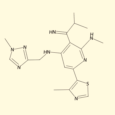 CNc1nc(-c2scnc2C)cc(NCc2ncn(C)n2)c1C(=N)C(C)C